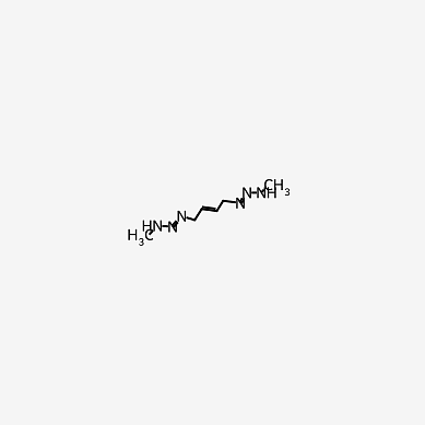 CNN=NCC=CCN=NNC